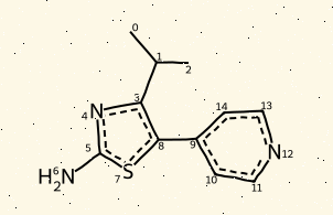 CC(C)c1nc(N)sc1-c1ccncc1